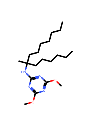 CCCCCCCC(C)(CCCCCC)Nc1nc(OC)nc(OC)n1